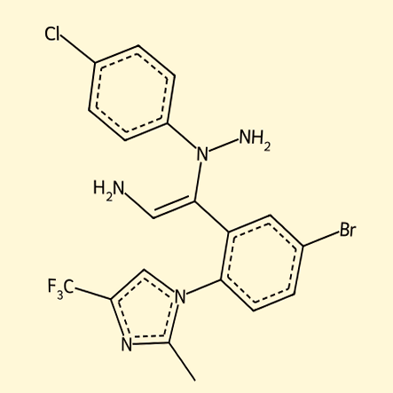 Cc1nc(C(F)(F)F)cn1-c1ccc(Br)cc1/C(=C/N)N(N)c1ccc(Cl)cc1